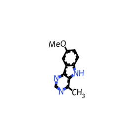 COc1ccc2[nH]c3c(C)ncnc3c2c1